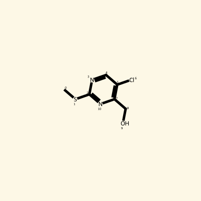 CSc1ncc(Cl)c(CO)n1